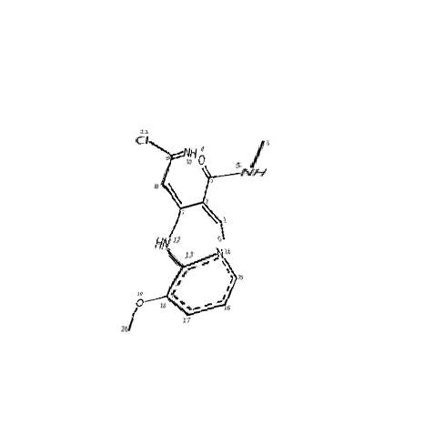 C/C=C(C(=O)NC)\C(=C/C(=N)Cl)Nc1ncccc1OC